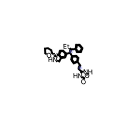 CC/C(=C(/c1ccc(/C=C/C2NOC(=O)N2)cc1)c1ccc2c(c1)CNN2C1CCCCO1)c1ccccc1